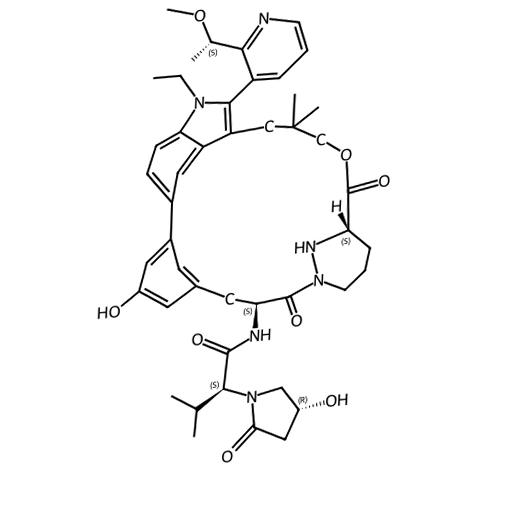 CCn1c(-c2cccnc2[C@H](C)OC)c2c3cc(ccc31)-c1cc(O)cc(c1)C[C@H](NC(=O)[C@H](C(C)C)N1C[C@H](O)CC1=O)C(=O)N1CCC[C@H](N1)C(=O)OCC(C)(C)C2